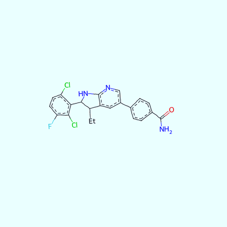 CCC1c2cc(-c3ccc(C(N)=O)cc3)cnc2NC1c1c(Cl)ccc(F)c1Cl